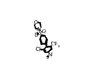 O=S(=O)(c1ccc(-c2c(Cl)cc(N=S)cc2C(F)(F)F)cc1)N1CCOCC1